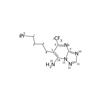 CC(C)CCCCc1c(C(F)(F)F)nc2ncnn2c1N